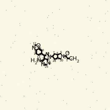 C=CC(=O)N1CC2CC(n3nc(-c4ccc5ncoc5c4)c4c(N)ncnc43)CC2C1